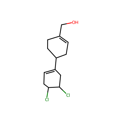 OCC1=CCC(C2=CCC(Cl)C(Cl)C2)CC1